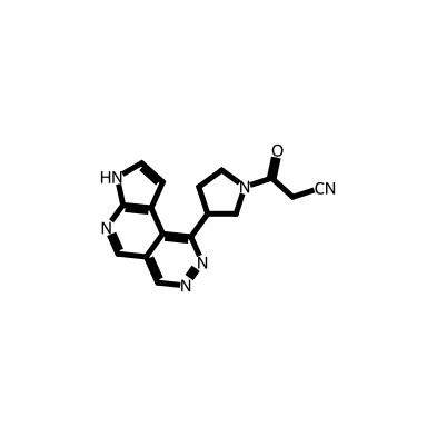 N#CCC(=O)N1CCC(c2nncc3cnc4[nH]ccc4c23)C1